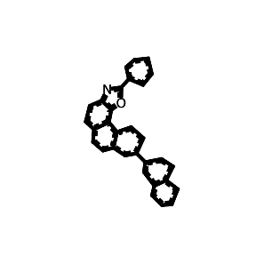 c1ccc(-c2nc3ccc4ccc5cc(-c6ccc7ccccc7c6)ccc5c4c3o2)cc1